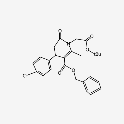 CC1=C(C(=O)OCc2ccccc2)C(c2ccc(Cl)cc2)CC(=O)N1CC(=O)OC(C)(C)C